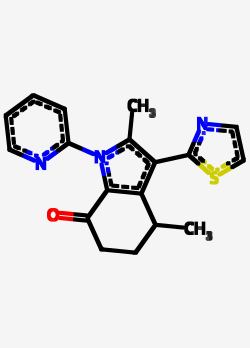 Cc1c(-c2nccs2)c2c(n1-c1ccccn1)C(=O)CCC2C